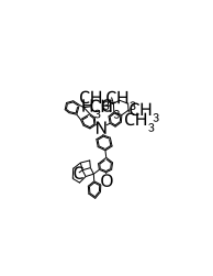 CC1(C)CCC(C)(C)c2cc(N(c3ccc(-c4ccc5c(c4)C4(c6ccccc6O5)C5CC6CC7CC4C75C6)cc3)c3ccc4c(c3)C(C)(C)c3ccccc3-4)ccc21